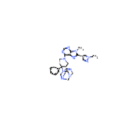 Cn1cc(-c2nc3c(N4CCC(c5ccccc5)([N+]56CN7CN(CN(C7)C5)C6)CC4)ncnc3n2C)cn1